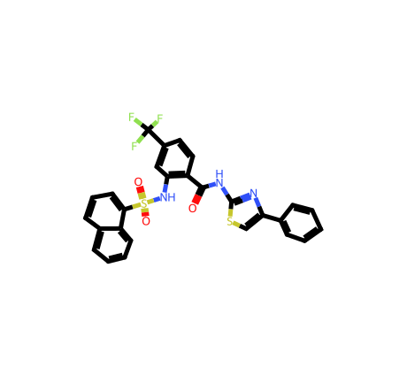 O=C(Nc1nc(-c2ccccc2)cs1)c1ccc(C(F)(F)F)cc1NS(=O)(=O)c1cccc2ccccc12